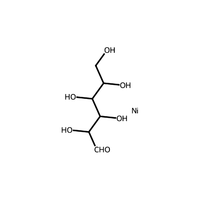 O=CC(O)C(O)C(O)C(O)CO.[Ni]